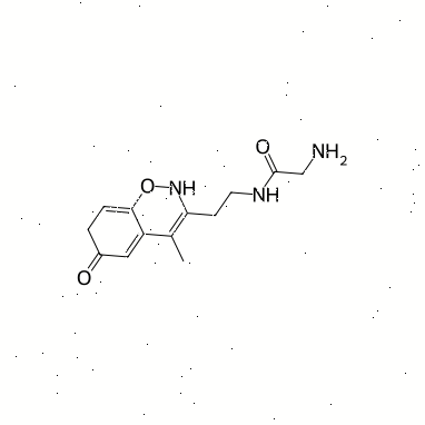 CC1=C(CCNC(=O)CN)NOC2=CCC(=O)C=C21